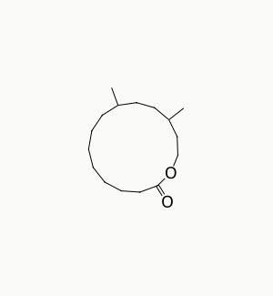 CC1CCCCCCCC(=O)OCCC(C)CC1